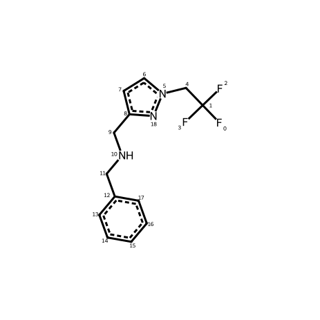 FC(F)(F)Cn1ccc(CNCc2ccccc2)n1